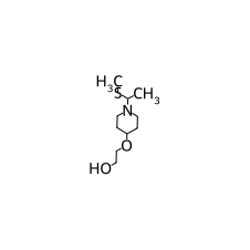 CSC(C)N1CCC(OCCO)CC1